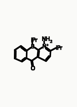 CC(C)B1c2ccccc2C(=O)c2ccc(C(C)C)[n+](N)c21